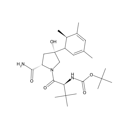 CC1=CC([C@]2(O)C[C@@H](C(N)=O)N(C(=O)[C@@H](NC(=O)OC(C)(C)C)C(C)(C)C)C2)[C@@H](C)C(C)=C1